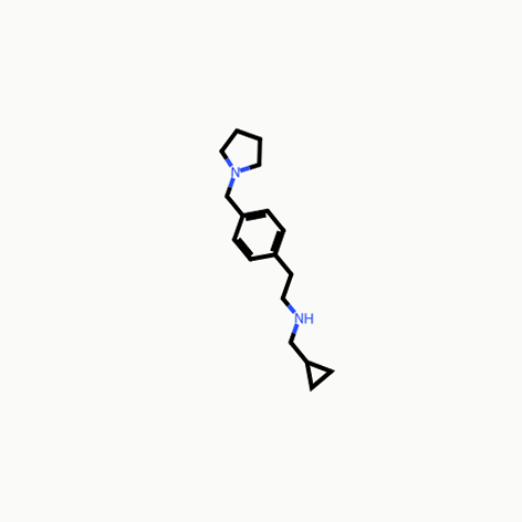 c1cc(CN2CCCC2)ccc1CCNCC1CC1